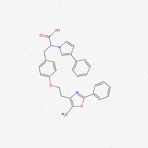 Cc1oc(-c2ccccc2)nc1CCOc1ccc(CC(C(=O)O)n2ccc(-c3ccccc3)c2)cc1